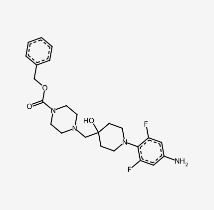 Nc1cc(F)c(N2CCC(O)(CN3CCN(C(=O)OCc4ccccc4)CC3)CC2)c(F)c1